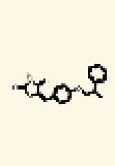 CC(COc1ccc(C=C2SC(=O)NC2=O)cc1)c1ccccc1